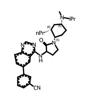 CCC[C@@H]1C[C@H](N(C)C(C)C)CC[C@@H]1N1CCC(Nc2ncnc3ccc(-c4cccc(C#N)c4)cc23)C1=O